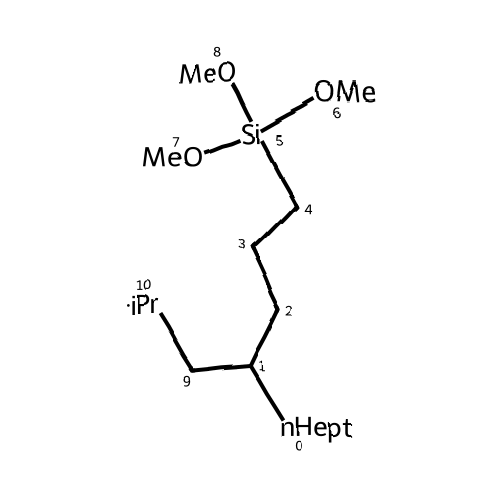 CCCCCCCC(CCC[Si](OC)(OC)OC)C[C](C)C